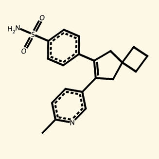 Cc1ccc(C2=C(c3ccc(S(N)(=O)=O)cc3)CC3(CCC3)C2)cn1